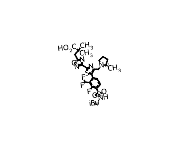 CC[C@@H](C)NS(=O)(=O)c1ccc(-c2sc(-c3noc(CC(C)(C)C(=O)O)n3)nc2CN2CCC[C@@H]2C)c(C(F)F)c1F